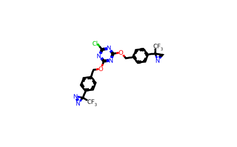 FC(F)(F)C1(c2ccc(COc3nc(Cl)nc(OCc4ccc(C5(C(F)(F)F)N=N5)cc4)n3)cc2)C=N1